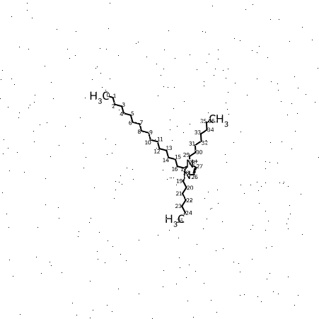 CCCCCCCCCCCCCCCCCc1n(CCCCCCC)cc[n+]1CCCCCCCC